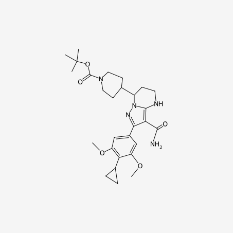 COc1cc(-c2nn3c(c2C(N)=O)NCCC3C2CCN(C(=O)OC(C)(C)C)CC2)cc(OC)c1C1CC1